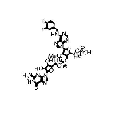 COC1C(OP(=O)(O)OCC2OC(n3cnc4c(=O)[nH]c(N)nc43)C(O)C2O)C(COP(=O)(O)O)OC1n1cnc2c(NCc3ccc(F)c(F)c3)ncnc21